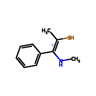 CN/C(=C(/C)S)c1ccccc1